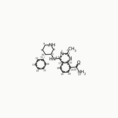 Cc1nc(N[C@@H]2CNCC[C@H]2c2ccccc2)c2cccc(C(N)=O)c2n1